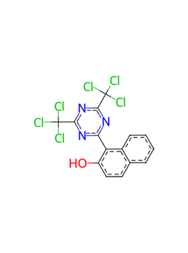 Oc1ccc2ccccc2c1-c1nc(C(Cl)(Cl)Cl)nc(C(Cl)(Cl)Cl)n1